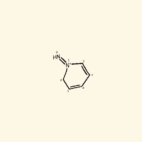 N=[N+]1C=CC=CC1